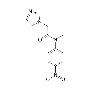 CN(C(=O)Cn1ccnc1)c1ccc([N+](=O)[O-])cc1